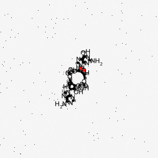 Nc1nc2c(ncn2[C@@H]2O[C@@H]3CO[P@@](=O)(O)O[C@H]4[C@@H](O)[C@H](n5cnc6c(N)ncnc65)[C@H]5C[C@]54COP(=O)(O)O[C@@H]2[C@@H]3F)c(=O)[nH]1